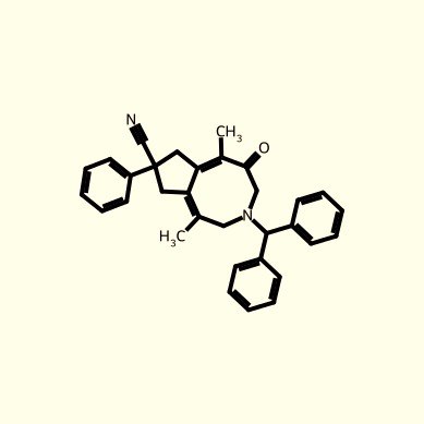 C/C1=C2\CC(C#N)(c3ccccc3)C\C2=C(/C)C(=O)CN(C(c2ccccc2)c2ccccc2)C1